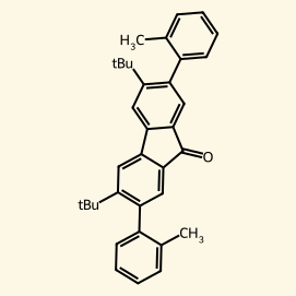 Cc1ccccc1-c1cc2c(cc1C(C)(C)C)-c1cc(C(C)(C)C)c(-c3ccccc3C)cc1C2=O